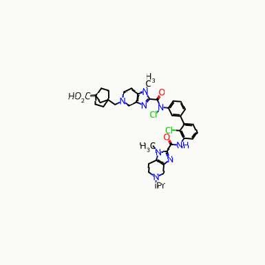 CC(C)N1CCc2c(nc(C(=O)Nc3cccc(-c4cccc(N(Cl)C(=O)c5nc6c(n5C)CCN(CC57CCC(C(=O)O)(CC5)C7)C6)c4)c3Cl)n2C)C1